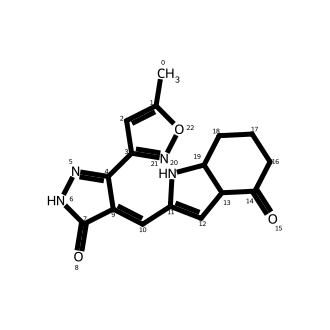 Cc1cc(C2=NNC(=O)/C2=C/C2=CC3C(=O)CCCC3N2)no1